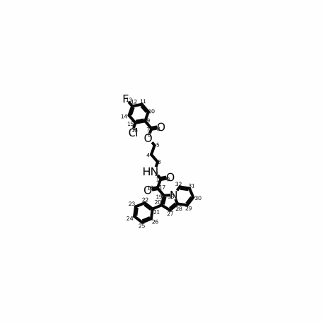 O=C(NCCCOC(=O)c1ccc(F)cc1Cl)C(=O)c1c(-c2ccccc2)cc2ccccn12